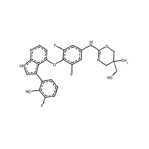 CC1(CO)CN=C(Nc2cc(F)c(Oc3ccnc4[nH]cc(-c5cccc(F)c5C#N)c34)c(F)c2)OC1